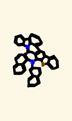 c1ccc2cc(N3c4c(ccc5ccccc45)B4c5c(cc6c(sc7ccccc76)c53)-c3cccc5c6ccccc6n4c35)ccc2c1